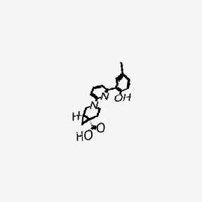 Cc1ccc(O)c(-c2cccc(N3CC[C@@]4(C(=O)O)C[C@H]4C3)n2)c1